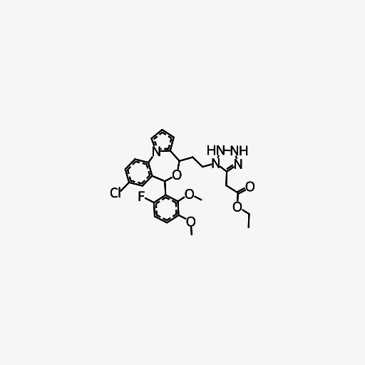 CCOC(=O)CC1=NNNN1CCC1OC(c2c(F)ccc(OC)c2OC)c2cc(Cl)ccc2-n2cccc21